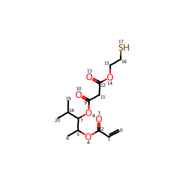 C=CC(=O)OC(C)C(OC(=O)CC(=O)OCCS)C(C)C